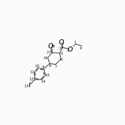 CCOC(=O)C1CCC(c2ccc(I)cc2)CC1=O